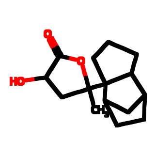 CC1(C23CCCC2C2CCC3C2)CC(O)C(=O)O1